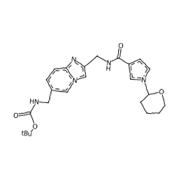 CC(C)(C)OC(=O)NCc1ccc2nc(CNC(=O)c3ccn(C4CCCCO4)c3)cn2c1